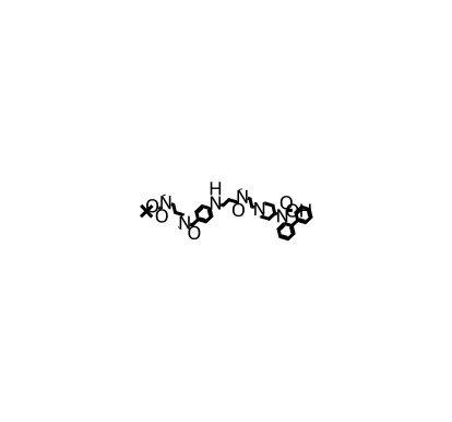 CN(CCN1CCC(N(C(=O)O)c2ccccc2-c2ccccc2)CC1)C(=O)CCNc1ccc(C(=O)N(C)CCCN(C)C(=O)OC(C)(C)C)cc1